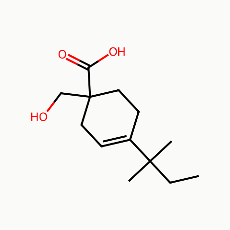 CCC(C)(C)C1=CCC(CO)(C(=O)O)CC1